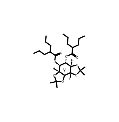 CCCC(CCC)C(=O)O[C@H]1[C@H](OC(=O)C(CCC)CCC)[C@@H]2OC(C)(C)O[C@@H]2[C@H]2OC(C)(C)O[C@H]12